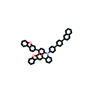 c1ccc(N(c2ccc(-c3ccc(-c4ccc5ccccc5c4)cc3)cc2)c2ccc(-c3ccc4c(c3)oc3ccccc34)cc2)c(-c2ccc3oc4ccccc4c3c2)c1